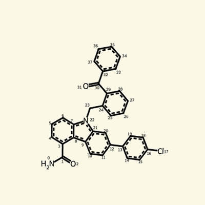 NC(=O)c1cccc2c1c1[c]cc(-c3ccc(Cl)cc3)cc1n2Cc1ccccc1C(=O)c1ccccc1